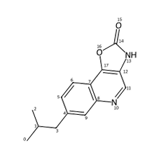 CC(C)Cc1ccc2c(c1)ncc1[nH]c(=O)oc12